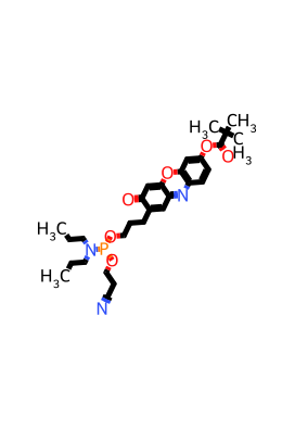 CCCN(CCC)P(OCCC#N)OCCCc1cc2nc3ccc(OC(=O)C(C)(C)C)cc3oc-2cc1=O